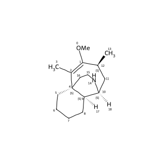 COC1=C(C)[C@]23CCCC[C@@H]2[C@H](C[C@@H]1C)NCC3